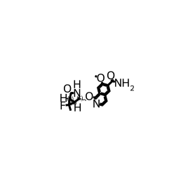 COc1cc2c(OC[C@H]3NC(=O)[C@H]4[C@@H]3C4(C)F)nccc2cc1C(N)=O